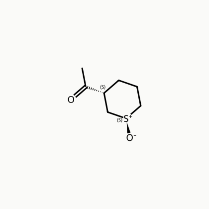 CC(=O)[C@@H]1CCC[S@@+]([O-])C1